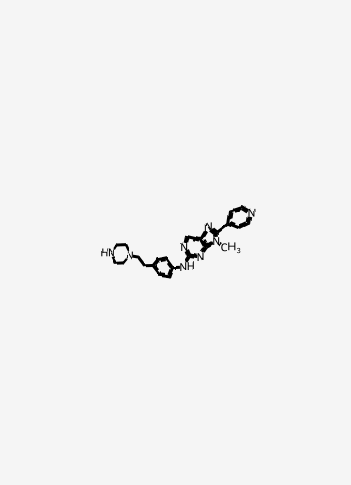 Cn1c(-c2ccncc2)nc2cnc(Nc3ccc(CCN4CCNCC4)cc3)nc21